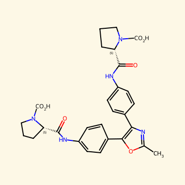 Cc1nc(-c2ccc(NC(=O)[C@@H]3CCCN3C(=O)O)cc2)c(-c2ccc(NC(=O)[C@@H]3CCCN3C(=O)O)cc2)o1